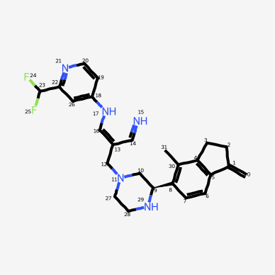 C=C1CCc2c1ccc([C@@H]1CN(C/C(C=N)=C/Nc3ccnc(C(F)F)c3)CCN1)c2C